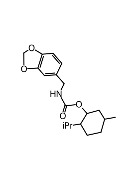 CC1CCC(C(C)C)C(OC(=O)NCc2ccc3c(c2)OCO3)C1